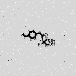 C=Cc1ccc(CC(=O)OC(CC)(CO)CO)cc1